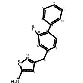 Nc1cc(Cc2ccc(-c3ccccc3)c(F)c2)no1